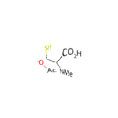 CC([O])=O.CNC(CS)C(=O)O